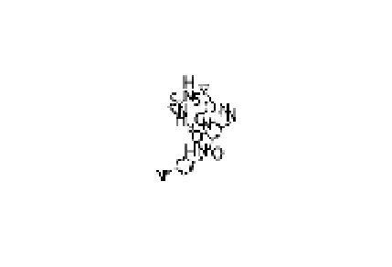 Cn1c(=O)c(C(=O)NCc2ccc(C#N)cc2)cc2cnnc(OCC3(SNc4nccs4)CC3)c21